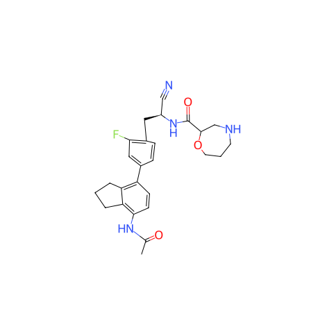 CC(=O)Nc1ccc(-c2ccc(C[C@@H](C#N)NC(=O)C3CNCCCO3)c(F)c2)c2c1CCC2